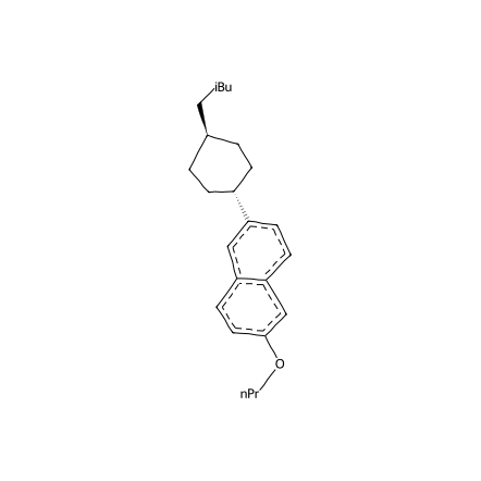 CCCOc1ccc2cc([C@H]3CC[C@H](CC(C)CC)CC3)ccc2c1